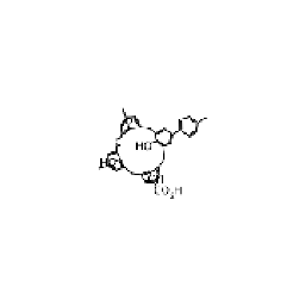 Cc1ccc(-c2cc3c(O)c(c2)Cc2cc(C(=O)O)cc(c2O)Cc2cc(C)cc(c2O)Cc2cc(C)cc(c2O)C3)cc1